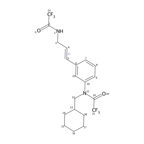 O=C(NC/C=C/c1cccc(N(CC2CCCCC2)C(=O)C(F)(F)F)c1)C(F)(F)F